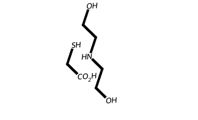 O=C(O)CS.OCCNCCO